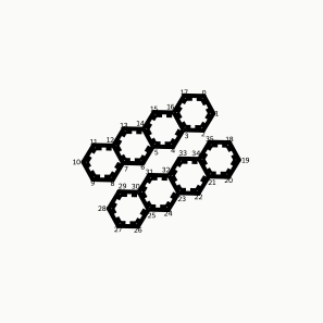 c1ccc2cc3cc4ccccc4cc3cc2c1.c1ccc2cc3cc4ccccc4cc3cc2c1